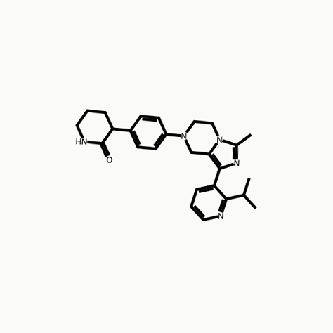 Cc1nc(-c2cccnc2C(C)C)c2n1CCN(c1ccc(C3CCCNC3=O)cc1)C2